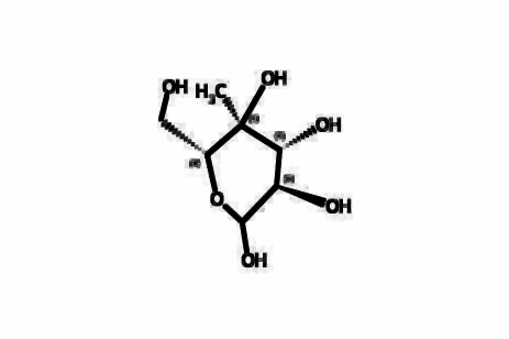 C[C@]1(O)[C@H](O)[C@@H](O)C(O)O[C@@H]1CO